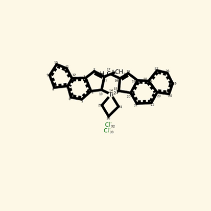 CC1=Cc2c(ccc3ccccc23)[CH]1[Ti+2]1([CH]2C(C)=Cc3c2ccc2ccccc32)[CH2]C[CH2]1.[Cl-].[Cl-]